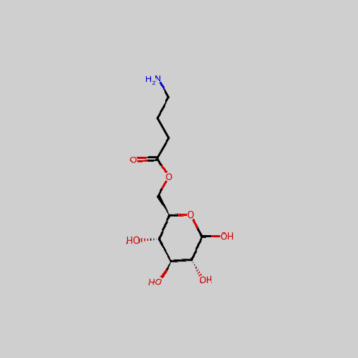 NCCCC(=O)OC[C@H]1OC(O)[C@H](O)[C@@H](O)[C@@H]1O